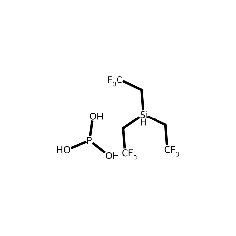 FC(F)(F)C[SiH](CC(F)(F)F)CC(F)(F)F.OP(O)O